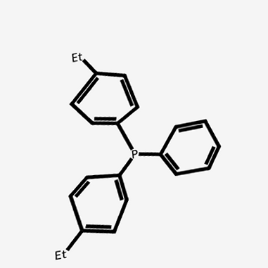 CCc1ccc(P(c2ccccc2)c2ccc(CC)cc2)cc1